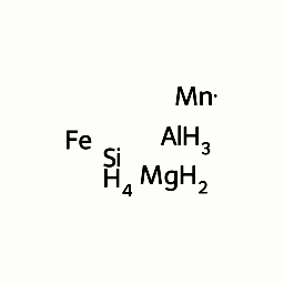 [AlH3].[Fe].[MgH2].[Mn].[SiH4]